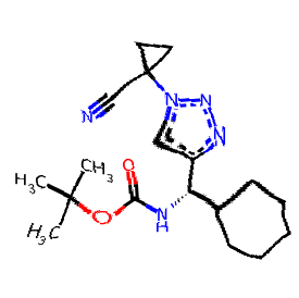 CC(C)(C)OC(=O)N[C@H](c1cn(C2(C#N)CC2)nn1)C1CCCCC1